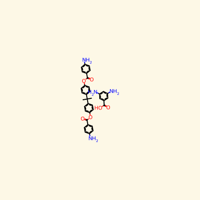 CC(C)(c1ccc(OC(=O)c2ccc(N)cc2)cc1)c1ccc(OC(=O)c2ccc(N)cc2)cc1.Nc1cc(N)cc(C(=O)O)c1